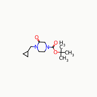 CC(C)(C)OC(=O)N1CCN(CC2CC2)C(=O)C1